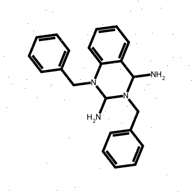 NC1c2ccccc2N(Cc2ccccc2)C(N)N1Cc1ccccc1